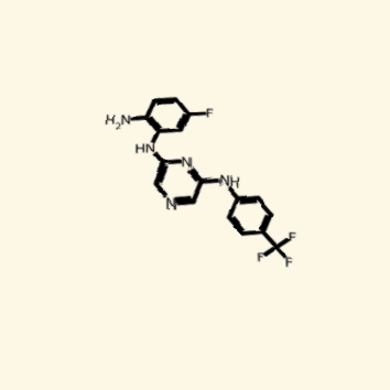 Nc1ccc(F)cc1Nc1cncc(Nc2ccc(C(F)(F)F)cc2)n1